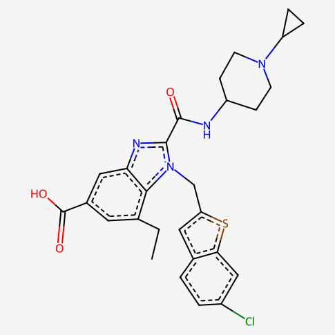 CCc1cc(C(=O)O)cc2nc(C(=O)NC3CCN(C4CC4)CC3)n(Cc3cc4ccc(Cl)cc4s3)c12